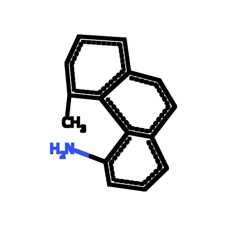 Cc1cccc2ccc3cccc(N)c3c12